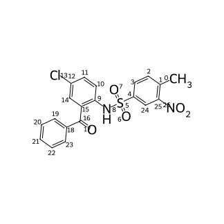 Cc1ccc(S(=O)(=O)Nc2ccc(Cl)cc2C(=O)c2ccccc2)cc1[N+](=O)[O-]